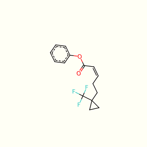 O=C(/C=C\CCC1(C(F)(F)F)CC1)Oc1ccccc1